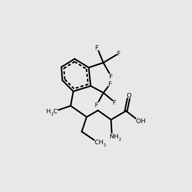 CCC(CC(N)C(=O)O)C(C)c1cccc(C(F)(F)F)c1C(F)(F)F